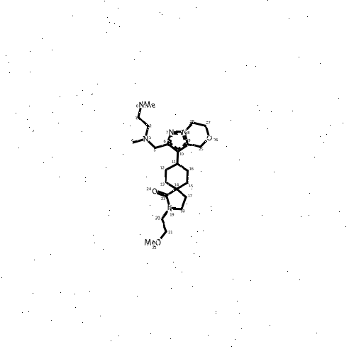 CNCCN(C)Cc1nn2c(c1C1CCC3(CC1)CCN(CCOC)C3=O)COCC2